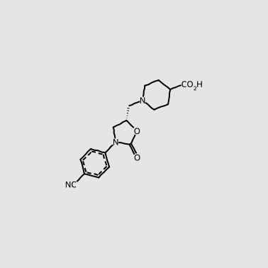 N#Cc1ccc(N2C[C@H](CN3CCC(C(=O)O)CC3)OC2=O)cc1